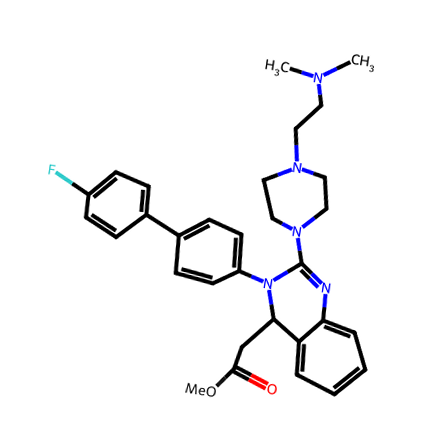 COC(=O)CC1c2ccccc2N=C(N2CCN(CCN(C)C)CC2)N1c1ccc(-c2ccc(F)cc2)cc1